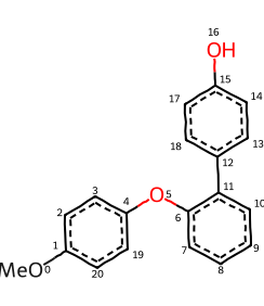 COc1ccc(Oc2ccccc2-c2ccc(O)cc2)cc1